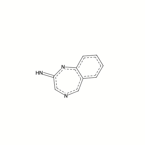 N=c1cncc2ccccc2n1